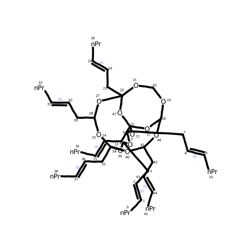 CCC/C=C/CC1OC(C/C=C/CCC)OC2(C/C=C/CCC)OC3OCOC(C/C=C/CCC)(OC(C/C=C/CCC)OC(C/C=C/CCC)(O1)OC(C/C=C/CCC)O3)O2